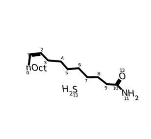 CCCCCCCC/C=C\CCCCCCCC(N)=O.S